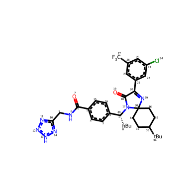 CCCC[C@H](c1ccc(C(=O)NCc2nn[nH]n2)cc1)N1C(=O)C(c2cc(Cl)cc(C(F)(F)F)c2)=NC12CCC(C(C)(C)C)CC2